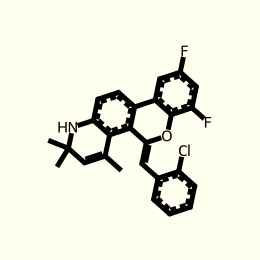 CC1=CC(C)(C)Nc2ccc3c(c21)C(=Cc1ccccc1Cl)Oc1c(F)cc(F)cc1-3